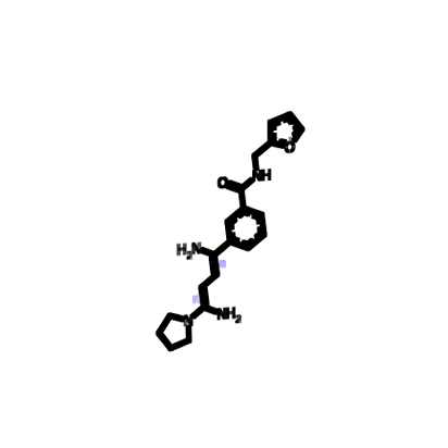 N/C(=C\C=C(/N)N1CCCC1)c1cccc(C(=O)NCc2ccco2)c1